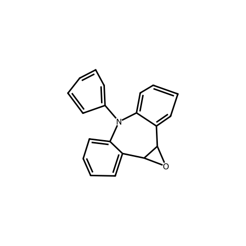 c1ccc(N2c3ccccc3C3OC3c3ccccc32)cc1